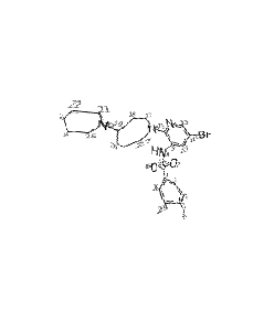 Cc1ccc(S(=O)(=O)Nc2cc(Br)cnc2N2CCC(N3CCCCC3)CC2)cc1